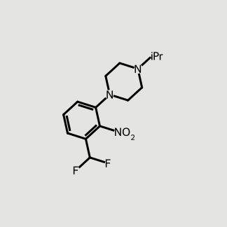 CC(C)N1CCN(c2cccc(C(F)F)c2[N+](=O)[O-])CC1